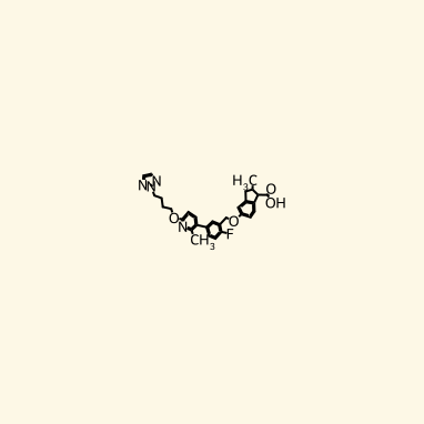 Cc1nc(OCCCCn2nccn2)ccc1-c1ccc(F)c(COc2ccc3c(c2)CC(C)C3C(=O)O)c1